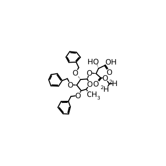 [2H]C([2H])OC(=O)[C@@H](O[C@H]1O[C@@H](C)[C@@H](OCc2ccccc2)[C@@H](OCc2ccccc2)[C@@H]1OCc1ccccc1)[C@H](O)C(=O)O